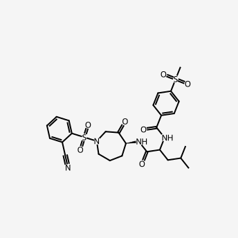 CC(C)CC(NC(=O)c1ccc(S(C)(=O)=O)cc1)C(=O)N[C@H]1CCCN(S(=O)(=O)c2ccccc2C#N)CC1=O